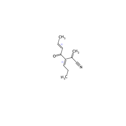 C=C(C#N)/C(=C\CC)C(=O)/C=C/C